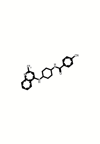 N#Cc1ccc(C(=O)NC2CCC(Nc3cc(C(F)(F)F)nc4ccccc34)CC2)cc1